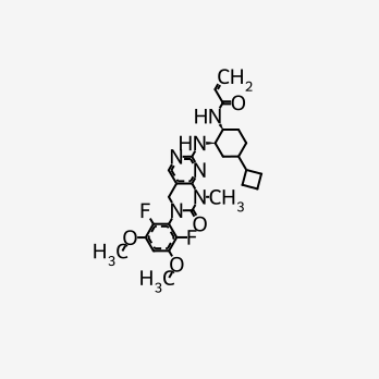 C=CC(=O)N[C@H]1CCC(C2CCC2)C[C@H]1Nc1ncc2c(n1)N(C)C(=O)N(c1c(F)c(OC)cc(OC)c1F)C2